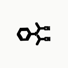 CC(C#N)P(c1ccccc1)C(C)C#N